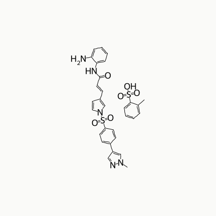 Cc1ccccc1S(=O)(=O)O.Cn1cc(-c2ccc(S(=O)(=O)n3ccc(/C=C/C(=O)Nc4ccccc4N)c3)cc2)cn1